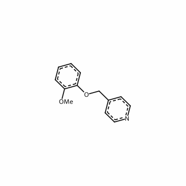 COc1ccccc1OCc1ccncc1